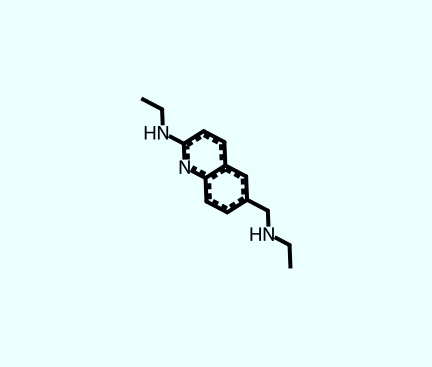 CCNCc1ccc2nc(NCC)ccc2c1